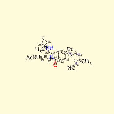 CC/C(=C\C=C/C(C)/C=C/C#N)c1ccc(C(=O)N(CCCNC(C)=O)CCNC2(C)CCC2)cc1